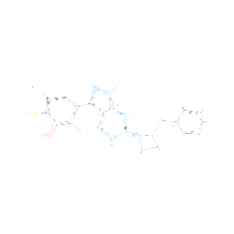 Cn1nc(-c2cc(C(F)(F)F)c(F)c(O)c2F)c2cnc(N3CCC3Cc3ccccc3)nc21